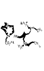 CN(C)C(=N)N(C)C.O=C(O)n1ccnc1